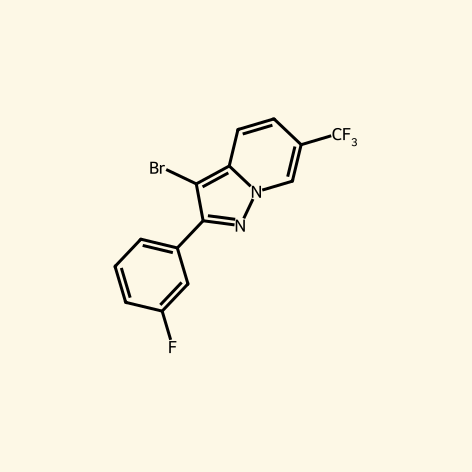 Fc1cccc(-c2nn3cc(C(F)(F)F)ccc3c2Br)c1